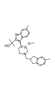 CO[C@@H]1CN(CC2Cc3ccc(C)cc3C2)CC[C@H]1n1c(C(C)(C)O)nc2cc(C)ccc21